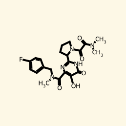 CN(C)C(=O)C(=O)N1CCCC1c1nc(C(=O)N(C)Cc2ccc(F)cc2)c(O)c(=O)[nH]1